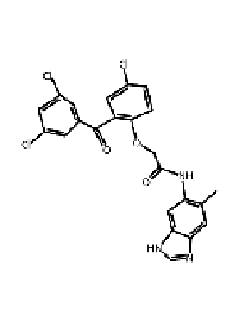 Cc1cc2nc[nH]c2cc1NC(=O)COc1ccc(Cl)cc1C(=O)c1cc(Cl)cc(Cl)c1